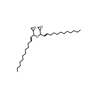 CCCCCCCCCC/C=C/C(OC(/C=C/CCCCCCCCCC)C1CO1)C1CO1